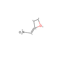 O=[N+]([O-])C=C1CCO1